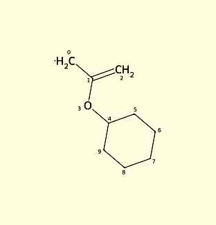 [CH2]C(=C)OC1CCCCC1